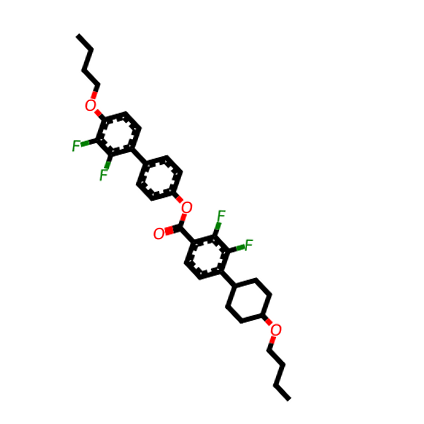 CCCCOc1ccc(-c2ccc(OC(=O)c3ccc(C4CCC(OCCCC)CC4)c(F)c3F)cc2)c(F)c1F